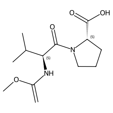 C=C(N[C@H](C(=O)N1CCC[C@H]1C(=O)O)C(C)C)OC